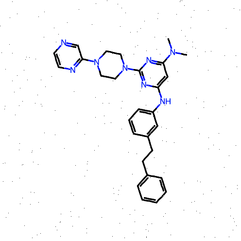 CN(C)c1cc(Nc2cccc(CCc3ccccc3)c2)nc(N2CCN(c3cnccn3)CC2)n1